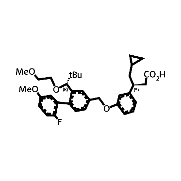 COCCO[C@@H](c1cc(COc2cccc([C@H](CC(=O)O)CC3CC3)c2)ccc1-c1cc(OC)ccc1F)C(C)(C)C